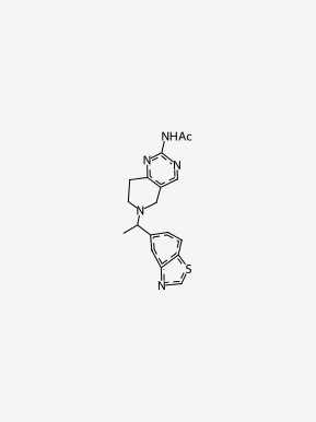 CC(=O)Nc1ncc2c(n1)CCN(C(C)c1ccc3scnc3c1)C2